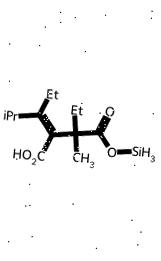 CCC(=C(C(=O)O)C(C)(CC)C(=O)O[SiH3])C(C)C